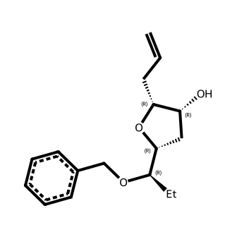 C=CC[C@H]1O[C@@H]([C@@H](CC)OCc2ccccc2)C[C@H]1O